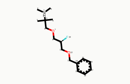 C[SiH](C)C(C)(C)COC[C@@H](F)COCc1ccccc1